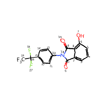 O=C1c2cccc(O)c2C(=O)N1c1ccc(C(F)(F)C(F)(F)F)cc1